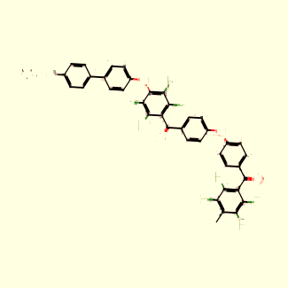 COc1ccc(-c2ccc(Oc3c(F)c(F)c(C(=O)c4ccc(Oc5ccc(C(=O)c6c(F)c(F)c(C)c(F)c6F)cc5)cc4)c(F)c3F)cc2)cc1